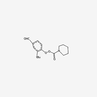 CC(C)(C)c1cc(C=O)ccc1OOC(=O)N1CCCCC1